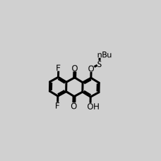 CCCCSOc1ccc(O)c2c1C(=O)c1c(F)ccc(F)c1C2=O